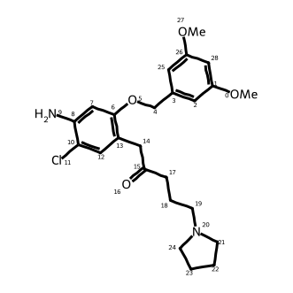 COc1cc(COc2cc(N)c(Cl)cc2CC(=O)CCCN2CCCC2)cc(OC)c1